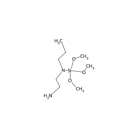 CCCN(CCN)[Si](OC)(OC)OC